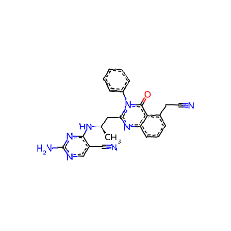 C[C@H](Cc1nc2cccc(CC#N)c2c(=O)n1-c1ccccc1)Nc1nc(N)ncc1C#N